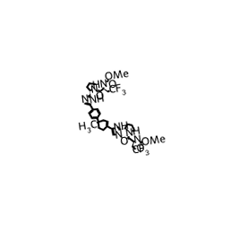 COC(=O)N[C@@H](CC(F)(F)F)C(=O)N1CCC[C@H]1c1ncc(C2=CCC(C)(c3ccc(-c4cnc([C@@H]5CCCN5C(=O)[C@H](CC(F)(F)F)NC(=O)OC)[nH]4)cc3)CC2)[nH]1